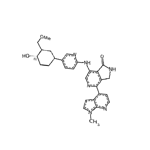 COCC1CC(c2ccc(Nc3cnc(-c4ccnc5c4ccn5C)c4c3C(=O)NC4)nc2)CC[C@@H]1O